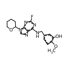 COc1ccc(CNc2nc(F)nc3c2ncn3C2CCCCO2)cc1O